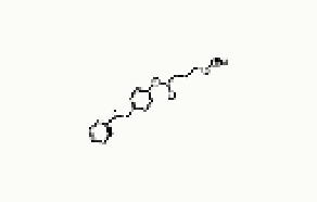 CC(C)(C)OCCCC(=O)Oc1ccc(CSc2ccccc2)cc1